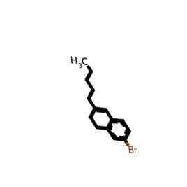 CCCCCC1=Cc2ccc(Br)cc2CC1